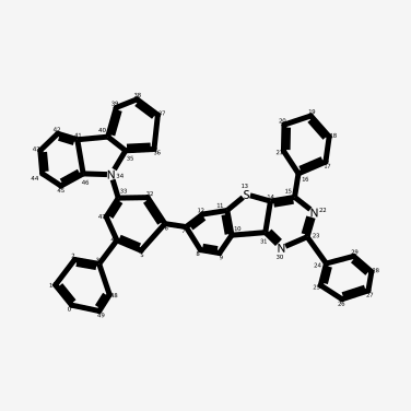 c1ccc(-c2cc(-c3ccc4c(c3)sc3c(-c5ccccc5)nc(-c5ccccc5)nc34)cc(-n3c4ccccc4c4ccccc43)c2)cc1